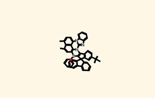 Cc1ccc2c3c1c(C)cc1c3n(c3nc4ccccc4n23)C2=C(B1c1ccccc1)C1(c3cc(C(C)(C)C)ccc32)c2ccccc2-c2ccccc21